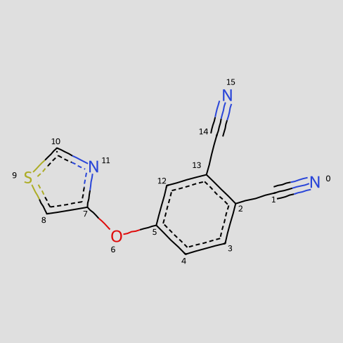 N#Cc1ccc(Oc2cs[c]n2)cc1C#N